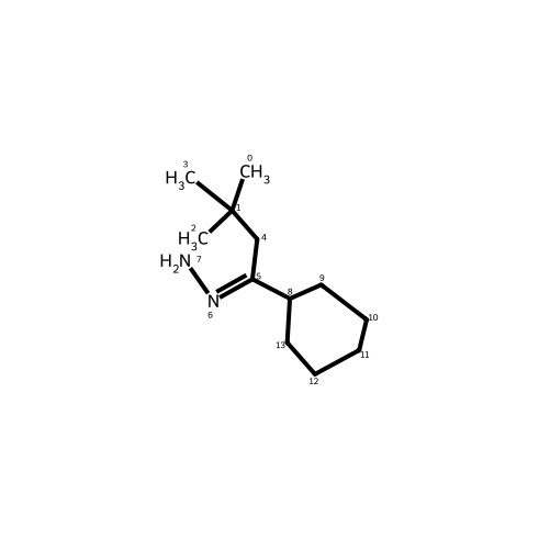 CC(C)(C)CC(=NN)C1CCCCC1